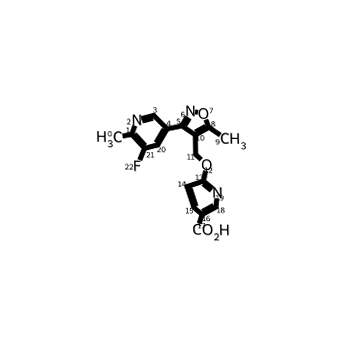 Cc1ncc(-c2noc(C)c2COc2ccc(C(=O)O)cn2)cc1F